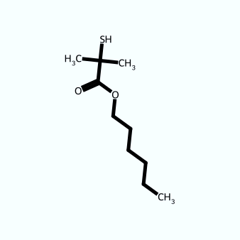 CCCCCCOC(=O)C(C)(C)S